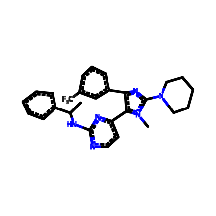 CC(Nc1nccc(-c2c(-c3cccc(C(F)(F)F)c3)nc(N3CCCCC3)n2C)n1)c1ccccc1